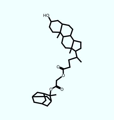 CC(CCC(=O)OCC(=O)OC1(C)C2CC3CC(C2)CC1C3)C1CCC2C3CCC4CC(O)CCC4(C)C3CCC12C